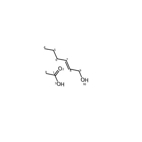 CC(=O)O.CCCC=CCO